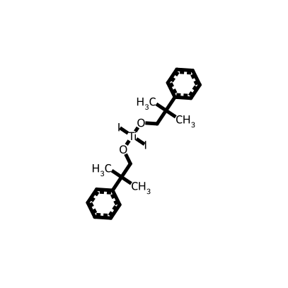 CC(C)(C[O][Ti]([I])([I])[O]CC(C)(C)c1ccccc1)c1ccccc1